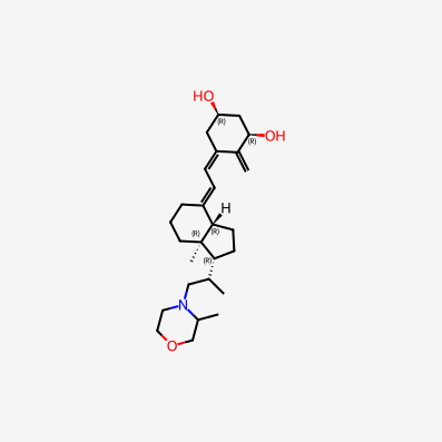 C=C1C(=CC=C2CCC[C@]3(C)[C@@H](C(C)CN4CCOCC4C)CC[C@@H]23)C[C@@H](O)C[C@H]1O